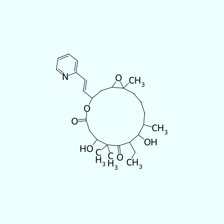 CCC1C(=O)C(C)(C)C(O)CC(=O)OC(C=Cc2ccccn2)CC2OC2(C)CCCC(C)C1O